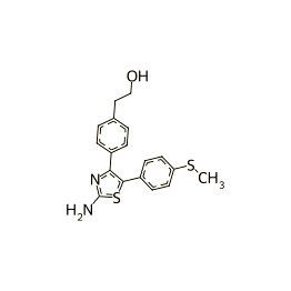 CSc1ccc(-c2sc(N)nc2-c2ccc(CCO)cc2)cc1